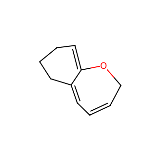 C1=CCOC2=CCCCC2=C1